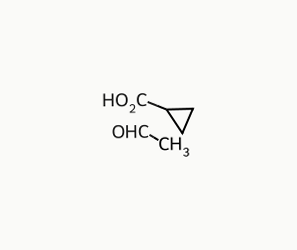 CC=O.O=C(O)C1CC1